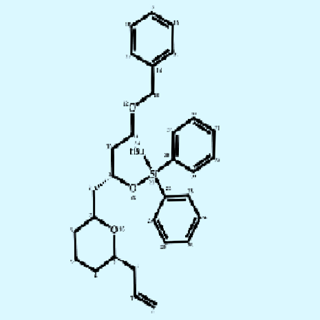 C=CC[C@H]1CCCC(C[C@H](CCOCc2ccccc2)O[Si](c2ccccc2)(c2ccccc2)C(C)(C)C)O1